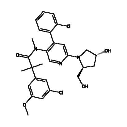 COc1cc(Cl)cc(C(C)(C)C(=O)N(C)c2cnc(N3C[C@H](O)C[C@H]3CO)cc2-c2ccccc2Cl)c1